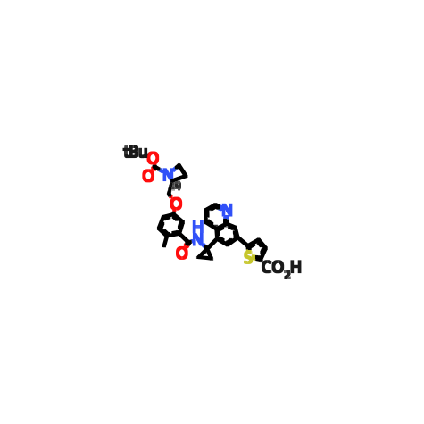 Cc1ccc(OC[C@@H]2CCN2C(=O)OC(C)(C)C)cc1C(=O)NC1(c2cc(-c3ccc(C(=O)O)s3)cc3ncccc23)CC1